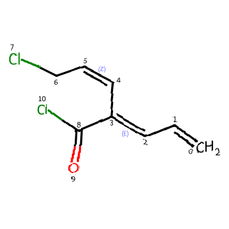 C=C/C=C(\C=C/CCl)C(=O)Cl